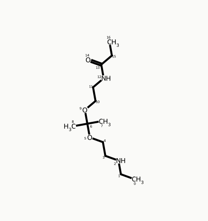 CCNCCOC(C)(C)OCCNC(=O)CC